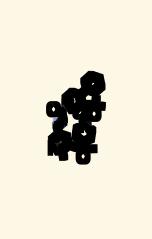 CC(=O)C1(Cc2cc(/C=C/C(=O)N3CC=C(c4ccccc4)CC3)cnc2C)CCN(C(=O)OC(C)(C)C)CC1